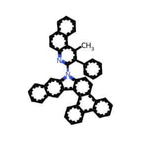 Cc1c(-c2ccccc2)c(-n2c3cc4ccccc4cc3c3c4c5ccccc5c5ccccc5c4ccc32)nc2ccc3ccccc3c12